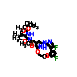 CC(C)[C@H](NC(=O)OC(C)(C)C)C(=O)N=[S@](C)(=O)Cc1cc2nc(c1)OCCCOc1cc(F)ccc1-c1cc(ncc1F)N2